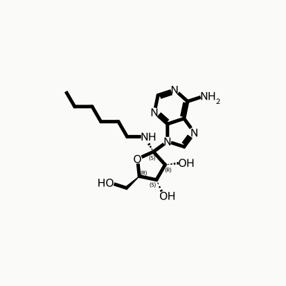 CCCCCCN[C@@]1(n2cnc3c(N)ncnc32)O[C@H](CO)[C@@H](O)[C@H]1O